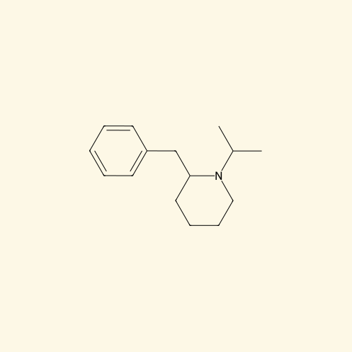 CC(C)N1CCCCC1Cc1ccccc1